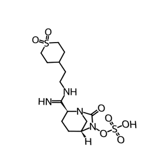 N=C(NCCC1CCS(=O)(=O)CC1)[C@@H]1CC[C@@H]2CN1C(=O)N2OS(=O)(=O)O